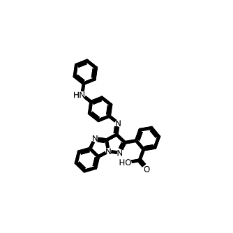 O=C(O)c1ccccc1C1=Nn2c(nc3ccccc32)C1=Nc1ccc(Nc2ccccc2)cc1